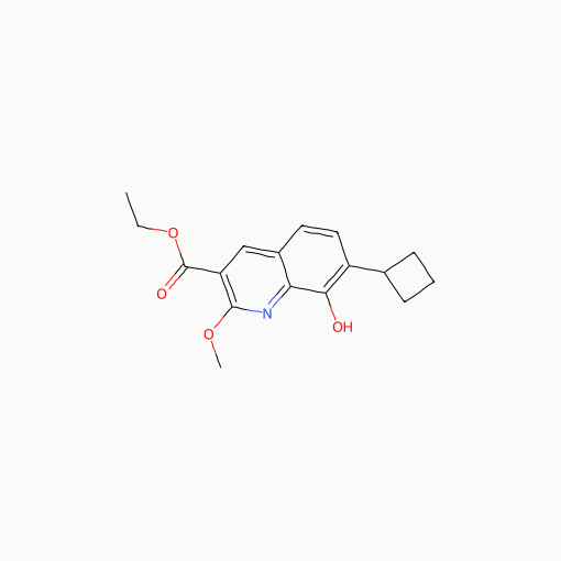 CCOC(=O)c1cc2ccc(C3CCC3)c(O)c2nc1OC